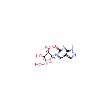 O=c1nc2[nH]ncc2cn1[C@@H]1O[C@H](CO)[C@@H](O)[C@H]1O